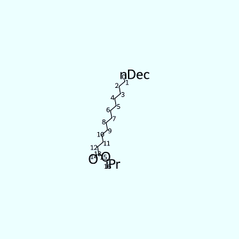 CCCCCCCCCCCCCCCCCCCCCCC(=O)OC(C)C